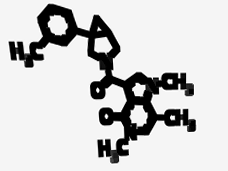 Cc1cccc(C23CC2CN(C(=O)c2cn(C)c4c(C)cn(C)c(=O)c24)C3)c1